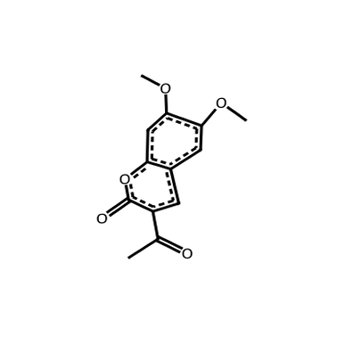 COc1cc2cc(C(C)=O)c(=O)oc2cc1OC